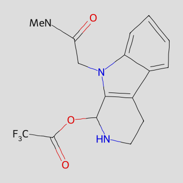 CNC(=O)Cn1c2c(c3ccccc31)CCNC2OC(=O)C(F)(F)F